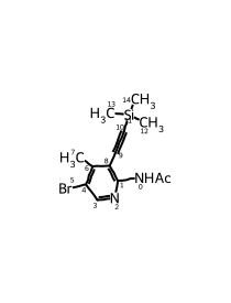 CC(=O)Nc1ncc(Br)c(C)c1C#C[Si](C)(C)C